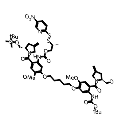 C=C1C[C@@H](CO[Si](C)(C)C(C)(C)C)N(C(=O)c2cc(OC)c(OCCCCCOc3cc(NC(=O)OC(C)(C)C)c(C(=O)N4CC(=C)C[C@H]4CO)cc3OC)cc2NC(=O)OC[C@@H](C)SSc2ccc([N+](=O)[O-])cn2)C1